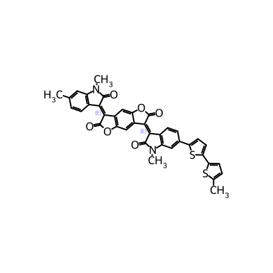 Cc1ccc2c(c1)N(C)C(=O)/C2=C1/C(=O)Oc2cc3c(cc21)OC(=O)/C3=C1/C(=O)N(C)c2cc(-c3ccc(-c4ccc(C)s4)s3)ccc21